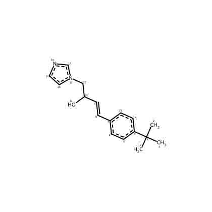 CC(C)(C)c1ccc(C=CC(O)Cn2ccnc2)cc1